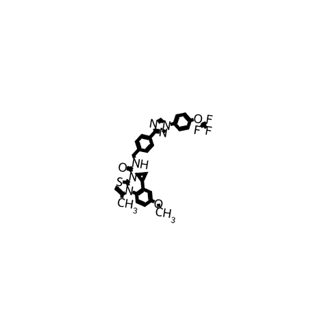 COc1ccc(-n2c(C)cs/c2=N\C(=O)NCc2ccc(-c3ncn(-c4ccc(OC(F)(F)F)cc4)n3)cc2)c(C2CC2)c1